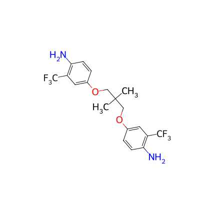 CC(C)(COc1ccc(N)c(C(F)(F)F)c1)COc1ccc(N)c(C(F)(F)F)c1